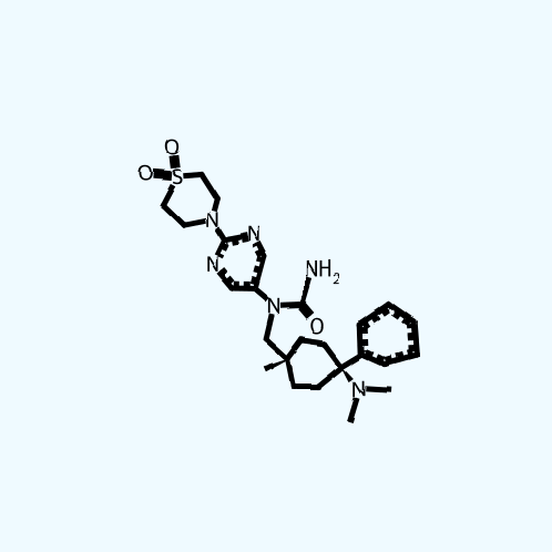 CN(C)[C@]1(c2ccccc2)CC[C@@](C)(CN(C(N)=O)c2cnc(N3CCS(=O)(=O)CC3)nc2)CC1